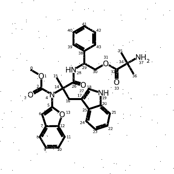 COC(=O)N(c1cc2ccccc2o1)C(C)(Cc1c[nH]c2ccccc12)C(=O)NC(COC(=O)C(C)(C)N)c1ccccc1